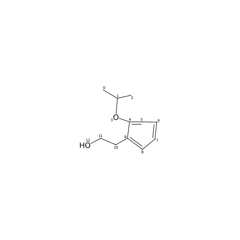 CC(C)Oc1ccccc1CCO